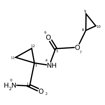 NC(=O)C1(NC(=O)OC2CC2)CC1